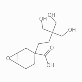 O=C(O)C1(CCC(CO)(CO)CO)CCC2OC2C1